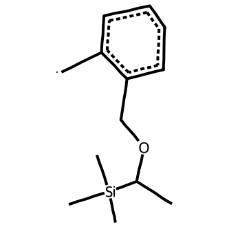 [CH2]c1ccccc1COC(C)[Si](C)(C)C